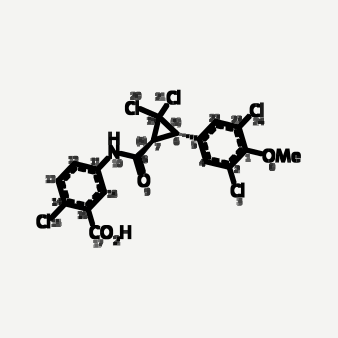 COc1c(Cl)cc([C@@H]2[C@@H](C(=O)Nc3ccc(Cl)c(C(=O)O)c3)C2(Cl)Cl)cc1Cl